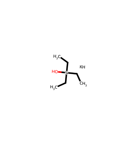 CC[Si](O)(CC)CC.[KH]